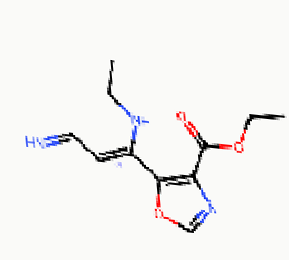 CCN/C(=C\C=N)c1ocnc1C(=O)OCC